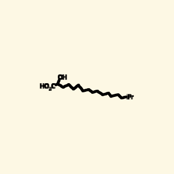 CC(C)CCCCCCCCCCCCCC(O)C(=O)O